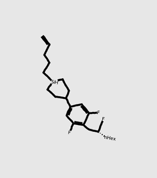 C=CCCC[SiH]1CCC(c2cc(F)c(C[C@H](F)CCCCCC)c(F)c2)CC1